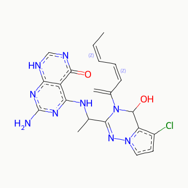 C=C(/C=C\C=C/C)N1C(C(C)Nc2nc(N)nc3[nH]cnc(=O)c23)=Nn2ccc(Cl)c2C1O